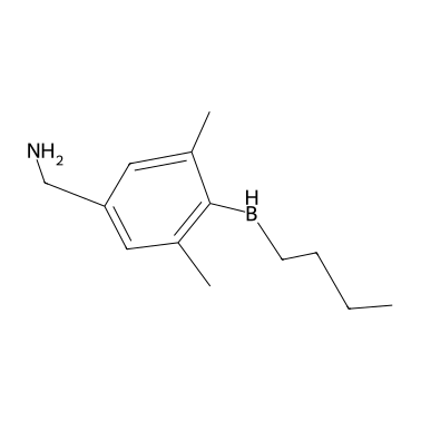 CCCCBc1c(C)cc(CN)cc1C